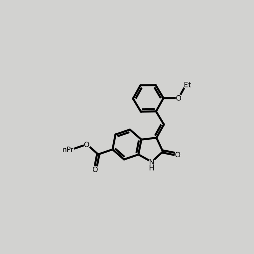 CCCOC(=O)c1ccc2c(c1)NC(=O)/C2=C/c1ccccc1OCC